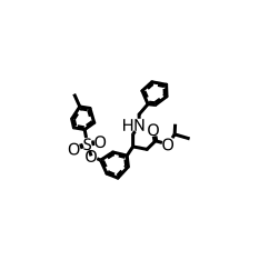 Cc1ccc(S(=O)(=O)Oc2cccc(C(CNCc3ccccc3)CC(=O)OC(C)C)c2)cc1